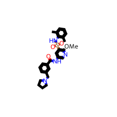 COc1ncc(NC(=O)c2cccc(CN3CCCC3)c2)cc1S(=O)(=O)Nc1c(C)cccc1C